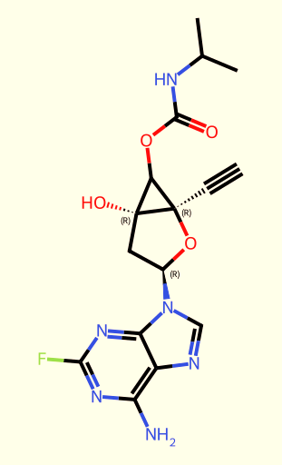 C#C[C@]12O[C@@H](n3cnc4c(N)nc(F)nc43)C[C@@]1(O)C2OC(=O)NC(C)C